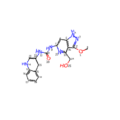 COc1n[nH]c2cc(NC(=O)NC3CNc4ccccc4C3)nc(CO)c12